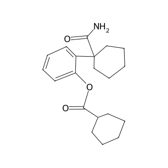 NC(=O)C1(c2ccccc2OC(=O)C2CCCCC2)CCCCC1